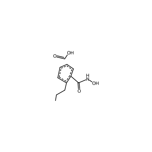 CCCc1ccccc1C(=O)NO.O=CO